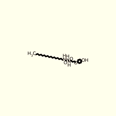 CCCCCCCCCCCCCCCCCCNC(=O)NNC(=O)CCOc1ccc(O)cc1